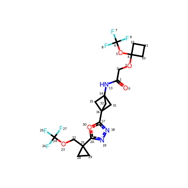 O=C(COC1(OC(F)(F)F)CCC1)NC12CC(c3nnc(C4(COC(F)(F)F)CC4)o3)(C1)C2